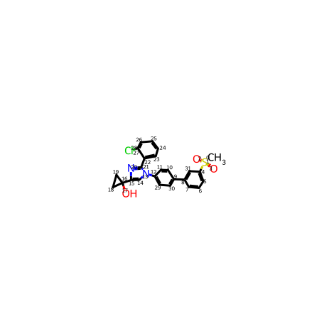 CS(=O)(=O)c1cccc(-c2ccc(-n3cc(C4(O)CC4)nc3-c3ccccc3Cl)cc2)c1